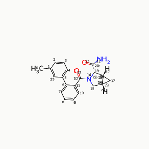 Cc1cccc(-c2ccccc2C(=O)N2C[C@H]3C[C@H]3[C@H]2C(N)=O)c1